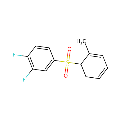 CC1=CC=CCC1S(=O)(=O)c1ccc(F)c(F)c1